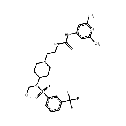 CCN(C1CCN(CCNC(=O)Nc2cc(C)nc(C)c2)CC1)S(=O)(=O)c1cccc(C(F)(F)F)c1